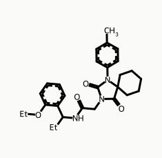 CCOc1ccccc1C(CC)NC(=O)CN1C(=O)N(c2ccc(C)cc2)C2(CCCCC2)C1=O